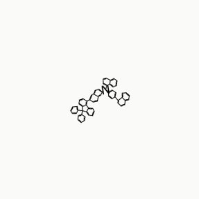 c1ccc(C2(c3ccccc3)c3ccccc3-c3c(-c4ccc5cc(N(c6ccc(-c7cccc8ccccc78)cc6)c6cccc7ccccc67)ccc5c4)cccc32)cc1